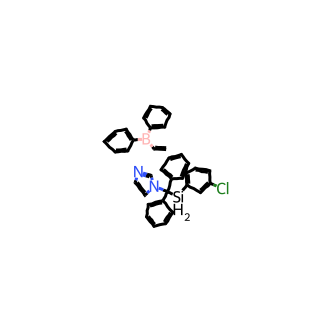 C=CB(c1ccccc1)c1ccccc1.Clc1cccc([SiH2]C(c2ccccc2)(c2ccccc2)n2ccnc2)c1